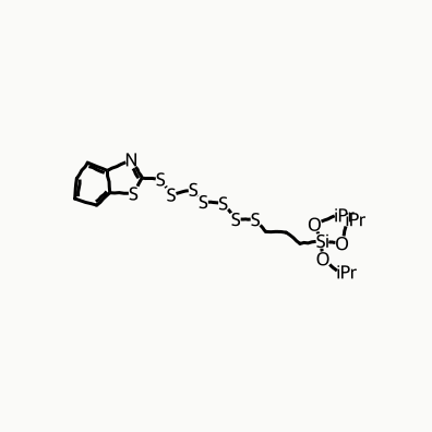 CC(C)O[Si](CCCSSSSSSSc1nc2ccccc2s1)(OC(C)C)OC(C)C